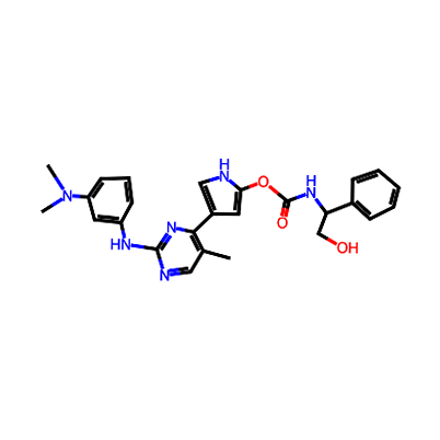 Cc1cnc(Nc2cccc(N(C)C)c2)nc1-c1c[nH]c(OC(=O)NC(CO)c2ccccc2)c1